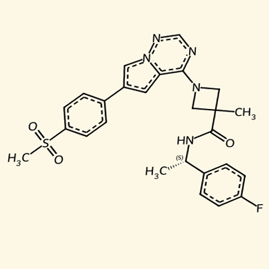 C[C@H](NC(=O)C1(C)CN(c2ncnn3cc(-c4ccc(S(C)(=O)=O)cc4)cc23)C1)c1ccc(F)cc1